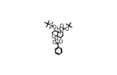 CC(C)(C)OC(=O)N1C[C@H](OC(=O)c2ccccc2)[C@H]2OC[C@H](O[Si](C)(C)C(C)(C)C)[C@H]21